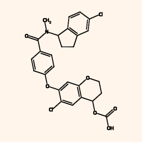 CN(C(=O)c1ccc(Oc2cc3c(cc2Cl)C(OC(=O)O)CCO3)cc1)C1CCc2cc(Cl)ccc21